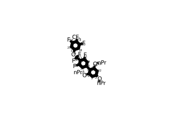 CCCOc1cc(OCCC)c(-c2cc(F)c(C(F)(F)Oc3cc(F)c(C(F)(F)F)c(F)c3)c(F)c2)c(OCCC)c1